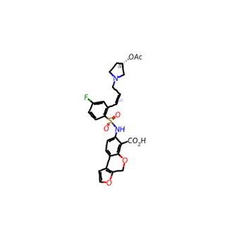 CC(=O)O[C@H]1CCN(C/C=C\c2cc(F)ccc2S(=O)(=O)Nc2ccc3c(c2C(=O)O)OCc2occc2-3)C1